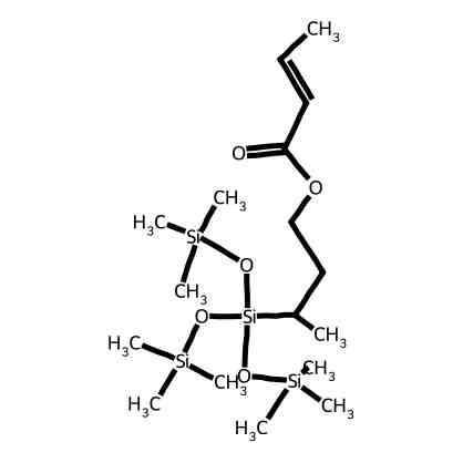 CC=CC(=O)OCCC(C)[Si](O[Si](C)(C)C)(O[Si](C)(C)C)O[Si](C)(C)C